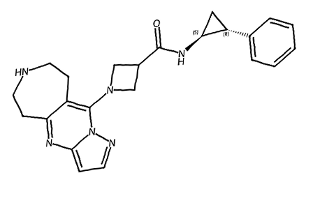 O=C(N[C@H]1C[C@@H]1c1ccccc1)C1CN(c2c3c(nc4ccnn24)CCNCC3)C1